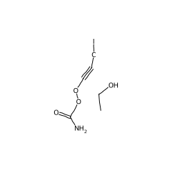 CCO.NC(=O)OOC#CCI